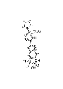 CC(C)(C)[C@H](NC(=O)c1cc2cc(C(F)(F)P(=O)(O)O)ccc2s1)C(=O)N1CCCC1